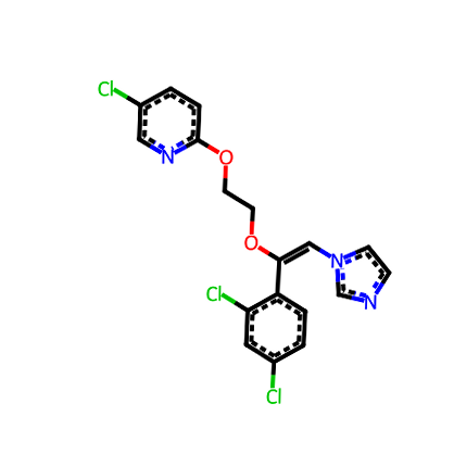 Clc1ccc(OCCOC(=Cn2ccnc2)c2ccc(Cl)cc2Cl)nc1